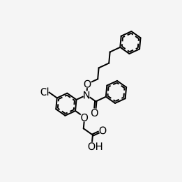 O=C(O)COc1ccc(Cl)cc1N(OCCCCc1ccccc1)C(=O)c1ccccc1